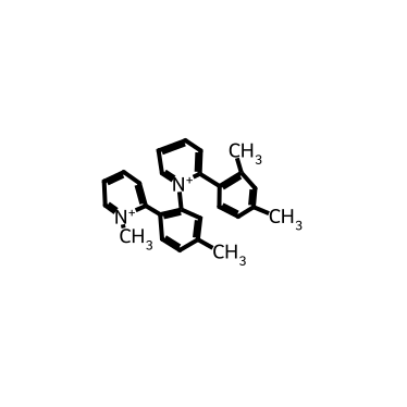 Cc1ccc(-c2cccc[n+]2-c2cc(C)ccc2-c2cccc[n+]2C)c(C)c1